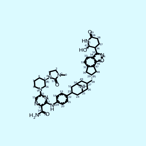 CN1CCN([C@@H]2CCCN(c3cnc(C(N)=O)c(Nc4ccc(C5CC6CC(C[C@@H]7Cc8ccc9c(C%10CCC(=O)NC%10O)noc9c8C7)CC(C5)N6)cc4)n3)C2)C1=O